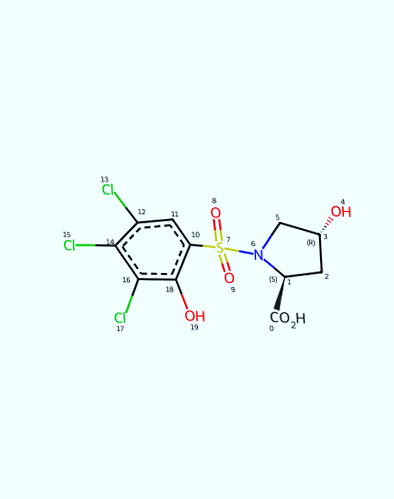 O=C(O)[C@@H]1C[C@@H](O)CN1S(=O)(=O)c1cc(Cl)c(Cl)c(Cl)c1O